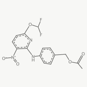 CC(=O)OCc1ccc(Nc2nc(OC(F)F)ccc2[N+](=O)[O-])cc1